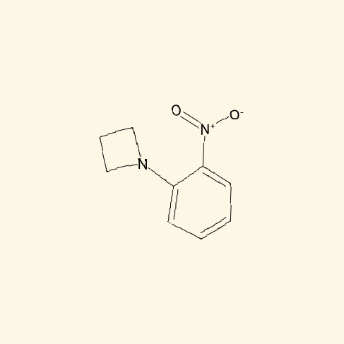 O=[N+]([O-])c1ccccc1N1CCC1